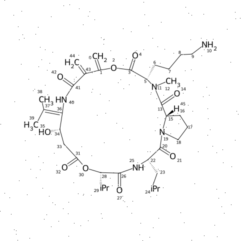 C=C1OC(=O)[C@H](CCCCN)N(C)C(=O)[C@@H]2CCCN2C(=O)[C@H](CC(C)C)NC(=O)[C@H](C(C)C)OC(=O)C[C@H](O)C(=C(C)C)NC(=O)C1=C